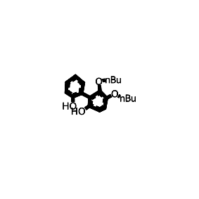 CCCCOc1ccc(O)c(-c2ccccc2O)c1OCCCC